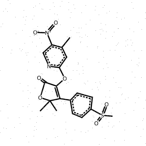 Cc1cc(OC2=C(c3ccc(S(C)(=O)=O)cc3)C(C)(C)OC2=O)ncc1[N+](=O)[O-]